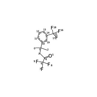 CC(C)(CC(=O)C(F)(F)F)c1cccc(C(F)(F)F)c1